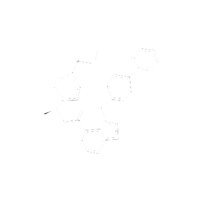 COC(=O)c1ccc([C@H](C)NC(=O)c2cccc3ccn(Cc4ccc(-c5ccncc5)cc4)c23)cc1